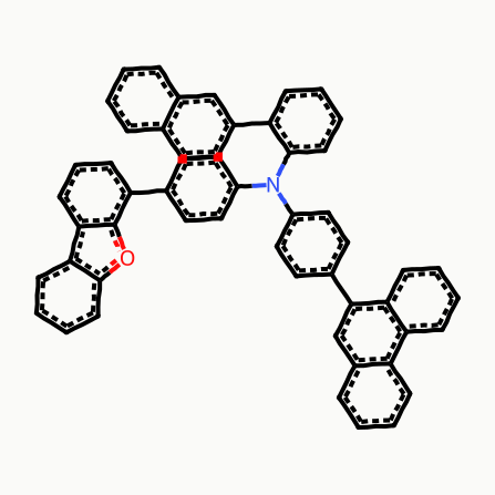 c1ccc(N(c2ccc(-c3cc4ccccc4c4ccccc34)cc2)c2ccc(-c3cccc4c3oc3ccccc34)cc2)c(-c2ccc3ccccc3c2)c1